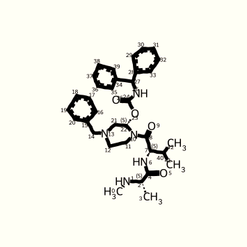 CN[C@@H](C)C(=O)N[C@H](C(=O)N1CCN(Cc2ccccc2)C[C@@H]1OC(=O)NC(c1ccccc1)c1ccccc1)C(C)C